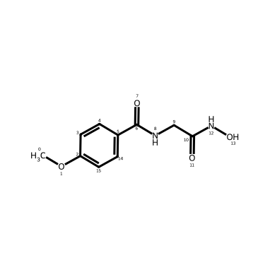 COc1ccc(C(=O)NCC(=O)NO)cc1